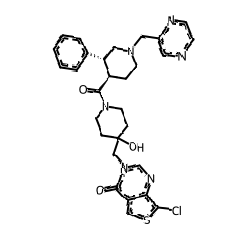 O=C([C@@H]1CCN(Cc2cnccn2)C[C@H]1c1ccccc1)N1CCC(O)(Cn2cnc3c(Cl)scc3c2=O)CC1